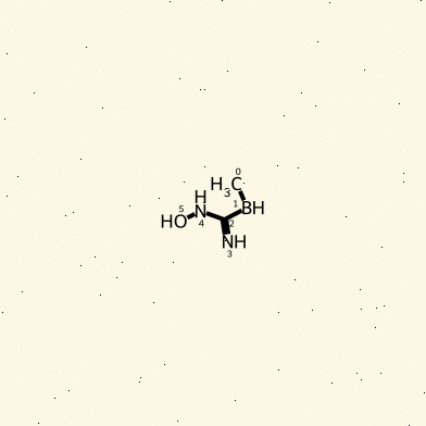 CBC(=N)NO